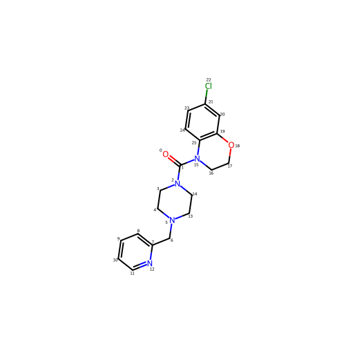 O=C(N1CCN(Cc2ccccn2)CC1)N1CCOc2cc(Cl)ccc21